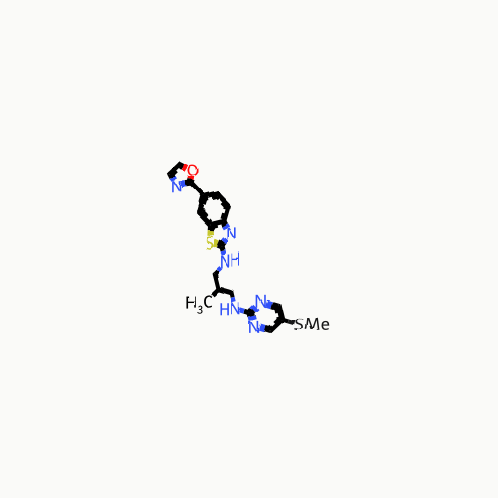 CSc1cnc(NCC(C)CNc2nc3ccc(-c4ncco4)cc3s2)nc1